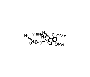 CNc1ncc2cc(-c3c(Cl)c(OC)cc(OC)c3Cl)c(=O)n(CCOC3CN(C(=O)/C=C/CN(C)C)C3)c2n1